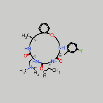 CC(C)[C@H]1NC(=O)[C@@H](Cc2cccc(F)c2)NCCOc2ccccc2C[C@H](C)CNC(=O)[C@H](CN(C)C)NC1=O